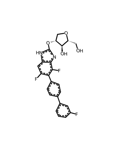 OC[C@H]1OC[C@@H](Oc2nc3c(F)c(-c4ccc(-c5cccc(F)c5)cc4)c(F)cc3[nH]2)[C@@H]1O